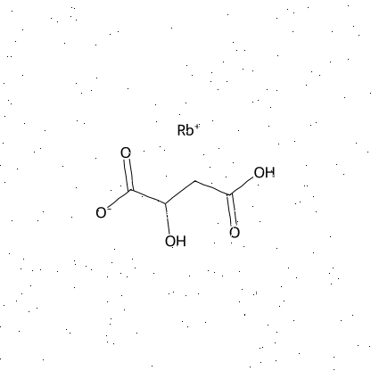 O=C(O)CC(O)C(=O)[O-].[Rb+]